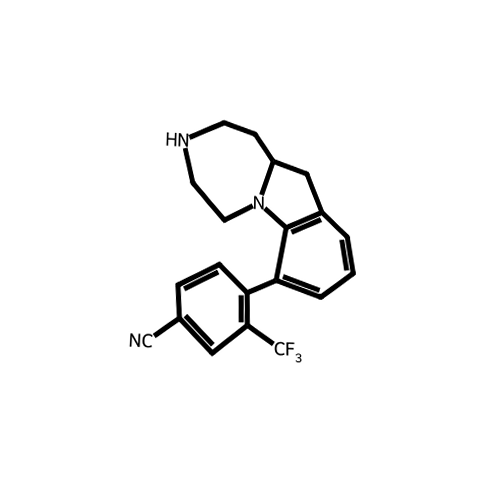 N#Cc1ccc(-c2cccc3c2N2CCNCCC2C3)c(C(F)(F)F)c1